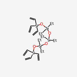 C=C[Si](C=C)(C=C)O[Si](CC)(CC)O[Si](CC)(CC)O[Si](CC)(CC)O[Si](C=C)(C=C)C=C